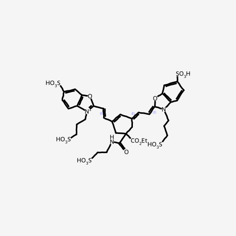 CCOC(=O)C1(C(=O)NCCS(=O)(=O)O)CC(/C=C/c2oc3cc(S(=O)(=O)O)ccc3[n+]2CCCS(=O)(=O)O)=CC(=C/C=C2\Oc3cc(S(=O)(=O)O)ccc3N2CCCS(=O)(=O)O)/C1